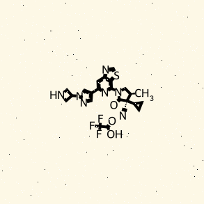 C[C@@H]1CN(c2nc(-c3cnn(C4CNC4)c3)cc3ncsc23)C(=O)[C@]1(C#N)C1CC1.O=C(O)C(F)(F)F